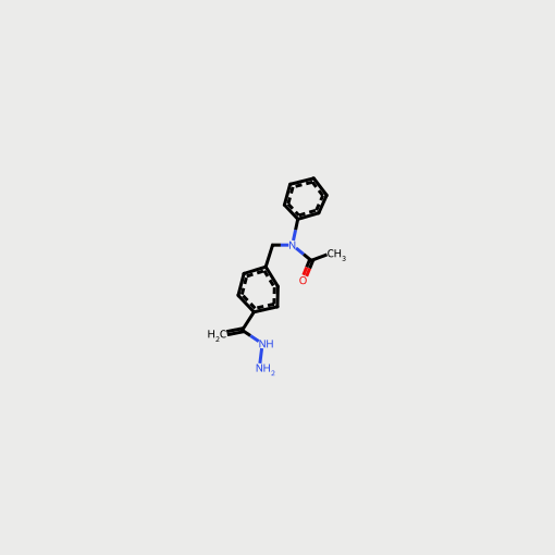 C=C(NN)c1ccc(CN(C(C)=O)c2ccccc2)cc1